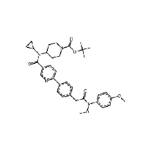 COc1ccc(N(OC)C(=O)Cc2ccc(-c3ncc(C(=O)N(C4CC4)C4CCN(C(=O)OC(C)(C)C)CC4)cn3)cc2)cc1